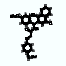 COc1ccc(C(NC(=O)COc2ccc(NC(C)=O)cc2)c2cc(Cl)c3cccnc3c2O)cc1